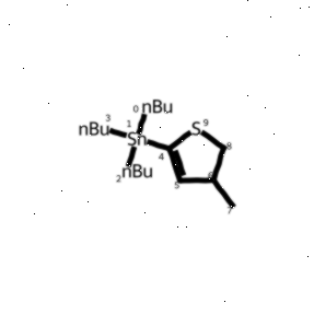 CCC[CH2][Sn]([CH2]CCC)([CH2]CCC)[C]1=CC(C)CS1